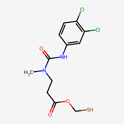 CN(CCC(=O)OCS)C(=O)Nc1ccc(Cl)c(Cl)c1